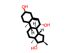 C[C@@H]1C[C@H]2[C@@H]3[C@@H](O)C=C4C[C@H](O)CC[C@]4(C)[C@H]3CC[C@]2(C)[C@H]1O